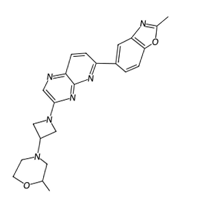 Cc1nc2cc(-c3ccc4ncc(N5CC(N6CCOC(C)C6)C5)nc4n3)ccc2o1